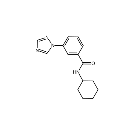 O=C(NC1CCCCC1)c1cccc(-n2cncn2)c1